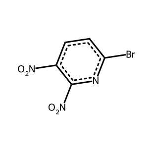 O=[N+]([O-])c1ccc(Br)nc1[N+](=O)[O-]